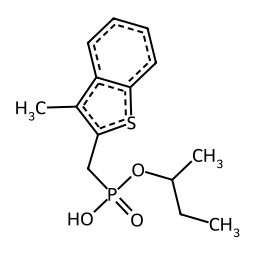 CCC(C)OP(=O)(O)Cc1sc2ccccc2c1C